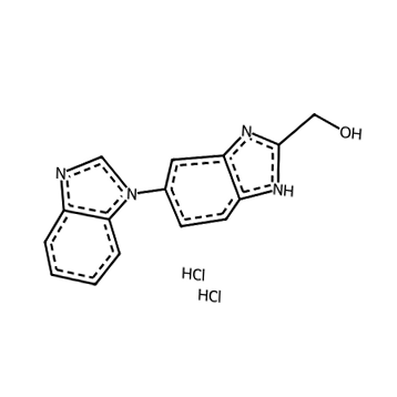 Cl.Cl.OCc1nc2cc(-n3cnc4ccccc43)ccc2[nH]1